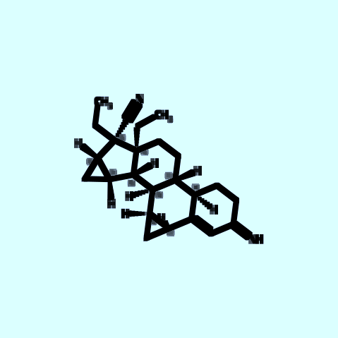 CC[C@]12CC[C@H]3[C@@H]([C@@H]4C[C@@H]4C4=CC(=N)CC[C@@H]43)[C@@H]1[C@@H]1C[C@@H]1[C@@]2(C#N)CC